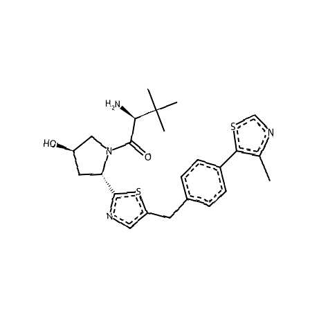 Cc1ncsc1-c1ccc(Cc2cnc([C@@H]3C[C@@H](O)CN3C(=O)[C@@H](N)C(C)(C)C)s2)cc1